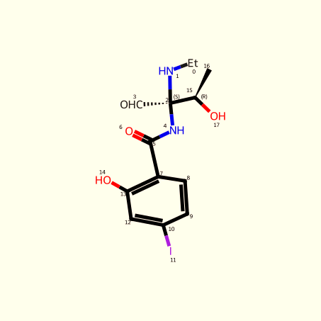 CCN[C@](C=O)(NC(=O)c1ccc(I)cc1O)[C@@H](C)O